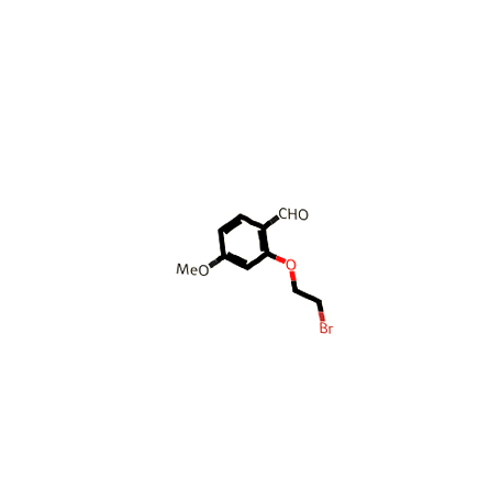 COc1ccc(C=O)c(OCCBr)c1